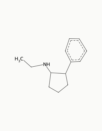 CCNC1CCCC1c1ccccc1